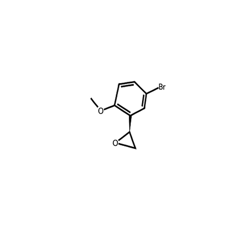 COc1ccc(Br)cc1[C@H]1CO1